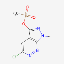 Cn1nc(OS(=O)(=O)C(F)(F)F)c2cc(Cl)nnc21